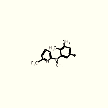 Cc1c(N)cc(F)cc1N(C)c1cccc(C(F)(F)F)n1